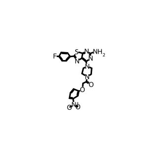 Nc1nc(N2CCN(C(=O)COc3cccc([N+](=O)[O-])c3)CC2)c2nc(-c3ccc(F)cc3)sc2n1